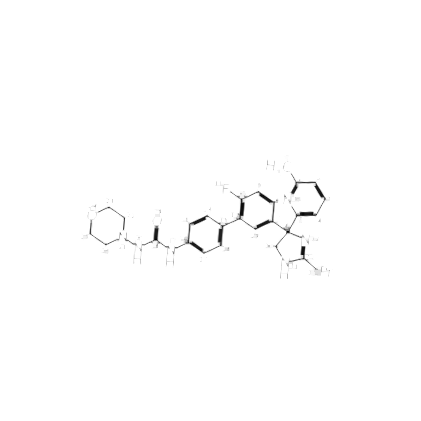 Cc1cccc(C2(c3ccc(F)c(-c4ccc(NC(=O)NN5CCOCC5)cc4)c3)CNC(C(C)C)=N2)n1